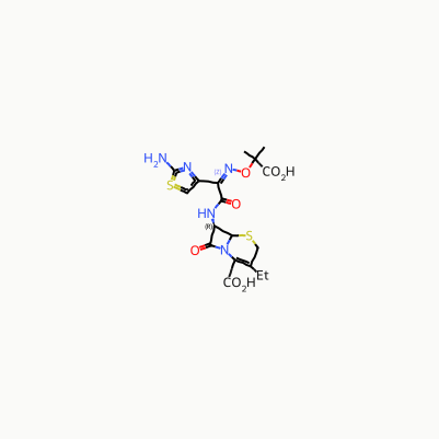 CCC1=C(C(=O)O)N2C(=O)[C@@H](NC(=O)/C(=N\OC(C)(C)C(=O)O)c3csc(N)n3)C2SC1